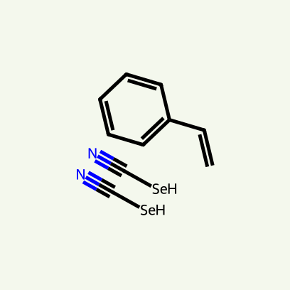 C=Cc1ccccc1.N#C[SeH].N#C[SeH]